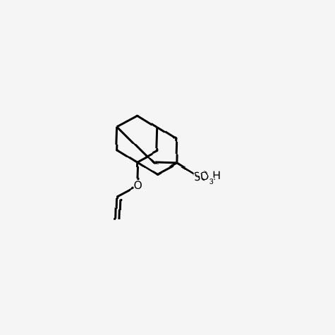 C=COC12CC3CC(C1)CC(S(=O)(=O)O)(C3)C2